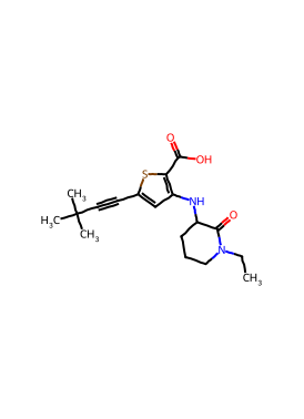 CCN1CCCC(Nc2cc(C#CC(C)(C)C)sc2C(=O)O)C1=O